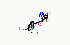 CC1=CC(C)=[N+]2C1=Cc1ccc(CCC(=O)NCC(O)(Cn3ccnn3)c3ccc(Cl)cc3Cl)n1[B-]2(F)F